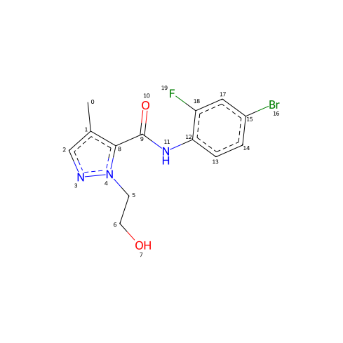 Cc1cnn(CCO)c1C(=O)Nc1ccc(Br)cc1F